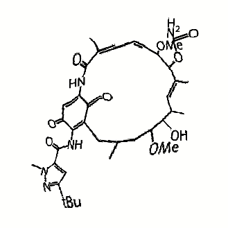 COC1/C=C\C=C(/C)C(=O)NC2=CC(=O)C(NC(=O)c3cc(C(C)(C)C)nn3C)=C(CC(C)CC(OC)C(O)C(C)/C=C(\C)C1OC(N)=O)C2=O